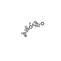 CC(=O)NC[C@H]1CN(c2ccc(N3CCON(CC(O)c4ccccc4)CC3)c(F)c2)C(=O)O1